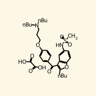 CCCCc1oc2ccc(NS(C)(=O)=O)cc2c1C(=O)c1ccc(OCCCN(CCCC)CCCC)cc1.O=C(O)C(=O)O